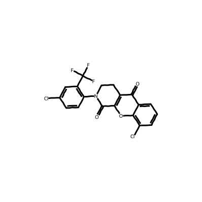 O=C1c2oc3c(Cl)cccc3c(=O)c2CCN1c1ccc(Cl)cc1C(F)(F)F